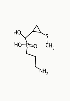 CSC1CC1C(O)P(=O)(O)CCCN